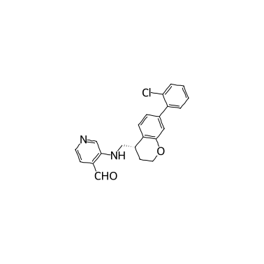 O=Cc1ccncc1NC[C@H]1CCOc2cc(-c3ccccc3Cl)ccc21